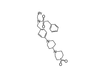 CC(C)CN(Cc1ccc(N2CCC(N3CCS(=O)(=O)CC3)CC2)cc1)S(=O)(=O)Cc1ccccc1